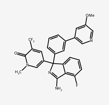 COc1cncc(-c2cccc(C3(c4cc(C(F)(F)F)c(=O)n(C)c4)N=C(N)c4c(F)cccc43)c2)c1